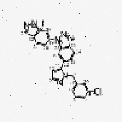 Clc1cccc(Cn2nccc2-c2ccc3nnn(-c4ccc5cn[nH]c5c4)c3c2)c1